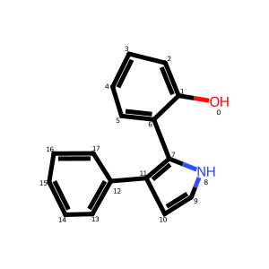 Oc1ccccc1-c1[nH]ccc1-c1ccccc1